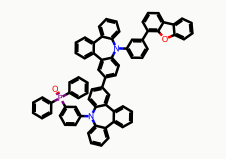 O=P(c1ccccc1)(c1ccccc1)c1cccc(N2c3ccccc3-c3ccccc3-c3cc(-c4ccc5c(c4)-c4ccccc4-c4ccccc4N5c4cccc(-c5cccc6c5oc5ccccc56)c4)ccc32)c1